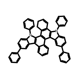 C1=Cc2c(c3c(c4ccccc4c4c5cc(-c6ccccc6)ccc5n(-c5ccccc5)c34)c3c4cc(-c5ccccc5)ccc4n(-c4ccccc4)c23)CC1